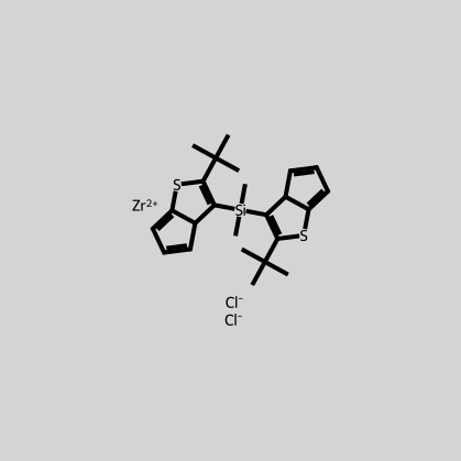 CC(C)(C)C1=C([Si](C)(C)C2=C(C(C)(C)C)SC3=CC=CC32)C2C=CC=C2S1.[Cl-].[Cl-].[Zr+2]